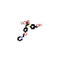 CC(Cc1ccc(OCCN2CCCCC2)cc1)(Sc1ccc(CO)cc1)C(=O)O